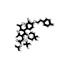 Cc1nc(C(C)O)c(-c2ccc(OCCc3ccc(F)cc3)c(F)c2)c(N2CCC(C)(C)CC2)c1[C@H](OC(C)(C)C)C(=O)OC(C)C